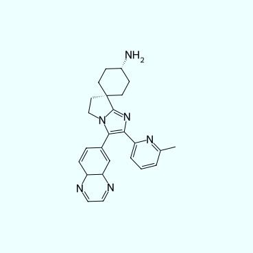 Cc1cccc(-c2nc3n(c2C2=CC4N=CC=NC4C=C2)CC[C@]32CC[C@@H](N)CC2)n1